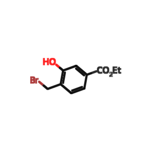 CCOC(=O)c1ccc(CBr)c(O)c1